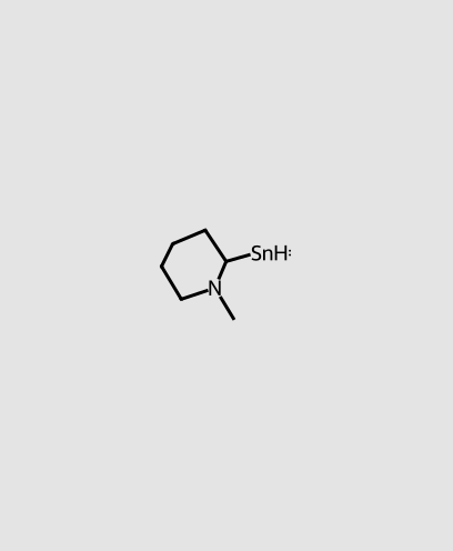 CN1CCCC[CH]1[SnH]